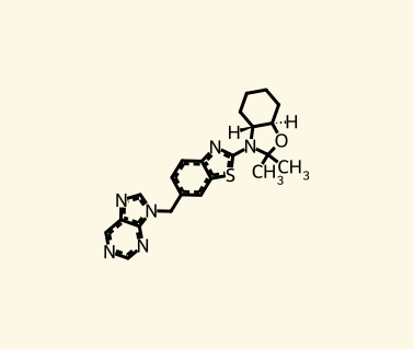 CC1(C)O[C@@H]2CCCC[C@H]2N1c1nc2ccc(Cn3cnc4cncnc43)cc2s1